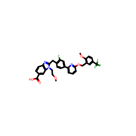 COCCn1c(Cc2ccc(-c3cccc(OCc4cc(C(F)(F)F)ccc4OC)n3)cc2F)nc2ccc(C(=O)O)cc21